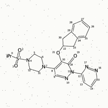 CC(C)S(=O)(=O)N1CCN(c2cnn(-c3cccnn3)c(=O)c2OC2Cc3ccccc3C2)CC1